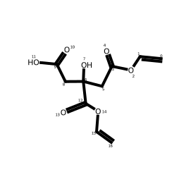 C=COC(=O)CC(O)(CC(=O)O)C(=O)OC=C